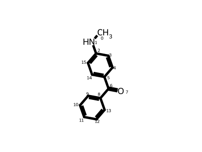 CNc1[c]cc(C(=O)c2ccccc2)cc1